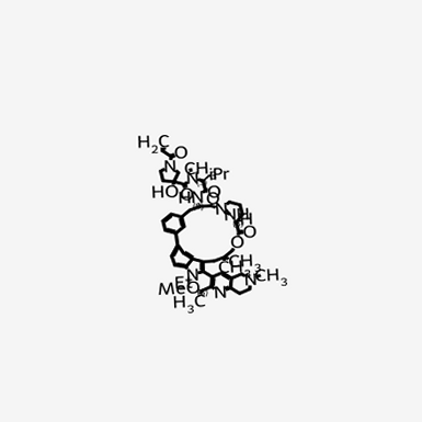 C=CC(=O)N1CCC(O)(C(=O)N(C)[C@H](C(=O)N[C@H]2Cc3cccc(c3)-c3ccc4c(c3)c(c(-c3cc5c(nc3[C@H](C)OC)CCN(C)C5)n4CC)CC(C)(C)COC(=O)[C@@H]3CCCN(N3)C2=O)C(C)C)C1